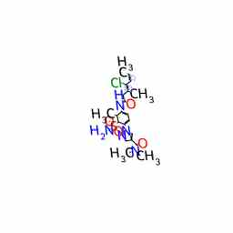 C/C=C\C(Cl)=C(/C)CC(=O)NC1=CC=C(n2cc(C(=O)N(C)C)cn2)C(S(N)(=O)=O)C1C